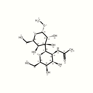 CO[C@H]1O[C@H](CO)[C@H](O)[C@@](O)([C@@H]2O[C@H](CO)[C@H](O)[C@H](O)[C@@H]2NC(C)=O)[C@H]1O